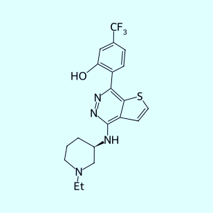 CCN1CCC[C@@H](Nc2nnc(-c3ccc(C(F)(F)F)cc3O)c3sccc23)C1